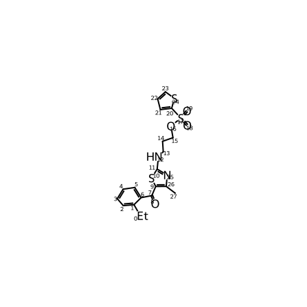 CCc1ccccc1C(=O)c1sc(NCCCOS(=O)(=O)c2cccs2)nc1C